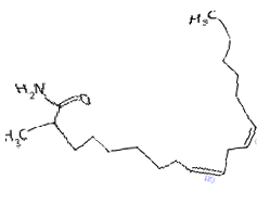 CCCCC/C=C\C/C=C\CCCCCCC(C)C(N)=O